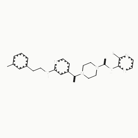 O=C(Nc1nccnc1Cl)N1CCN(C(=O)c2ccnc(NCCc3cccc(F)c3)c2)CC1